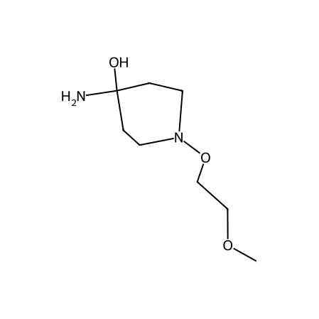 COCCON1CCC(N)(O)CC1